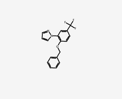 FC(F)(F)c1ccc(OCc2ccccc2)c(-n2cccn2)c1